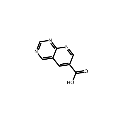 O=C(O)c1cnc2ncncc2c1